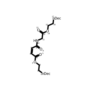 CCCCCCCCCCCCOC(=O)/C=C\C(=O)NCC(=O)OCCCCCCCCCCCC